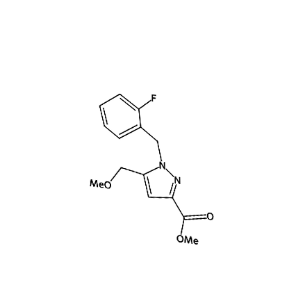 COCc1cc(C(=O)OC)nn1Cc1ccccc1F